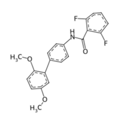 COc1ccc(OC)c(-c2ccc(NC(=O)c3c(F)cccc3F)cc2)c1